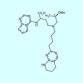 CO[C@H](C)CN(CCCCc1ccc2c(n1)NCCC2)CCC(Nc1ncnc2sccc12)C(=O)O